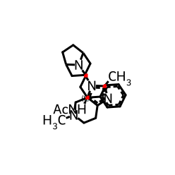 CC(=O)N[C@@H](CCN1C2CCC1CC(n1c(C)nc3c1CN(C)CC3)C2)c1ccccc1